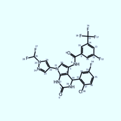 O=C1Nc2c(c(NC(=O)c3cc(F)cc(C(F)(F)F)c3)cn2-c2cnn(C(F)F)c2)C(c2cc(F)ccc2Cl)N1